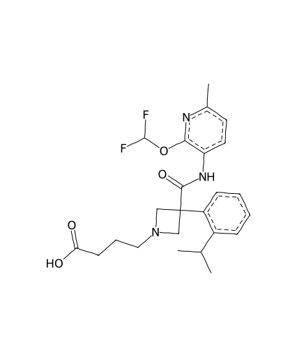 Cc1ccc(NC(=O)C2(c3ccccc3C(C)C)CN(CCCC(=O)O)C2)c(OC(F)F)n1